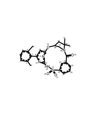 Cc1cccc(C)c1-c1cc2nc(n1)NS(=O)(=O)c1cccc(c1)C(=O)N1CC(CC1(C)C)O2